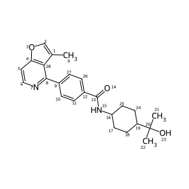 Cc1coc2ccnc(-c3ccc(C(=O)NC4CCC(C(C)(C)O)CC4)cc3)c12